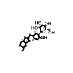 Cc1ccc2c(c1)C=C(Cc1ccc(O)c([C@@H]3O[C@H](CO)[C@@H](O)[C@H](O)[C@H]3O)c1)C2